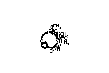 COC(=O)[C@@H]1CCCCOc2ccc(cc2)C[C@H](NCl)C(=O)N[C@@H](CC(C)C)C(=O)N1